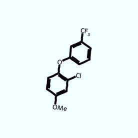 COc1ccc(Oc2cccc(C(F)(F)F)c2)c(Cl)c1